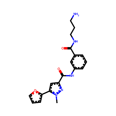 Cn1nc(C(=O)Nc2cccc(C(=O)NCCCN)c2)cc1-c1ccco1